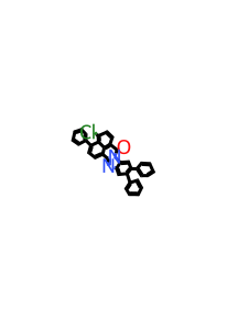 O=c1c2ccc(Cl)c3c(-c4ccccc4)ccc(c32)c2nc3cc(-c4ccccc4)c(-c4ccccc4)cc3n12